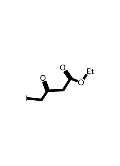 CCOC(=O)CC(=O)CI